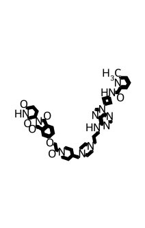 Cc1cccc(C(=O)NC2CC(n3cnc4c(NCCCN5CCN(CC6CCN(C(=O)COc7ccc8c(c7)C(=O)N([C@@H]7CCC(=O)NC7=O)C8=O)CC6)CC5)ncnc43)C2)n1